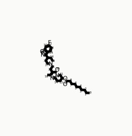 CCCCCCCCCC(=O)OC1CCc2nc(C)c(CCN3CCC(c4noc5cc(F)ccc45)CC3)c(=O)n2C1